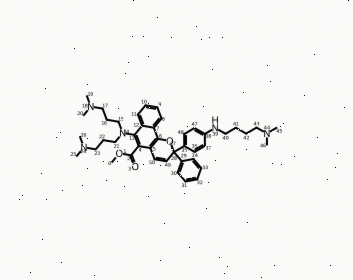 COC(=O)c1c2c(c3ccccc3c1N(CCCN(C)C)CCCN(C)C)OC(c1ccccc1)(c1ccc(NCCCCN(C)C)cc1)C=C2